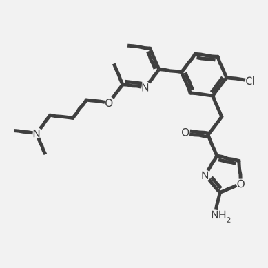 C/C=C(\N=C(/C)OCCCN(C)C)c1ccc(Cl)c(CC(=O)c2coc(N)n2)c1